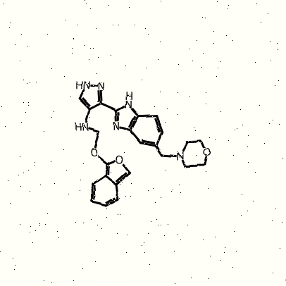 c1ccc2c(OCNc3c[nH]nc3-c3nc4cc(CN5CCOCC5)ccc4[nH]3)occ2c1